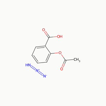 CC(=O)Oc1ccccc1C(=O)O.[N-]=[N+]=N